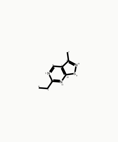 CCc1ncc2c(C)nsc2n1